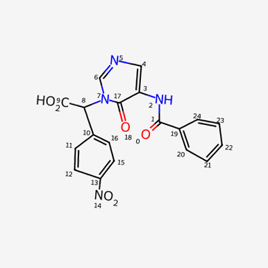 O=C(Nc1cncn(C(C(=O)O)c2ccc([N+](=O)[O-])cc2)c1=O)c1ccccc1